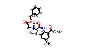 COC(=O)c1cc(C)cc(C)c1NC(=O)C[N+](C)(C)CC(=O)OCc1ccccc1